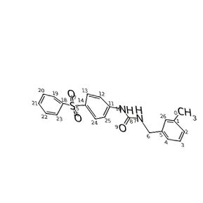 Cc1cccc(CNC(=O)Nc2ccc(S(=O)(=O)c3ccccc3)cc2)c1